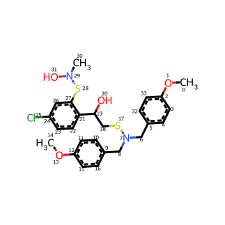 COc1ccc(CN(Cc2ccc(OC)cc2)SCC(O)c2ccc(Cl)cc2SN(C)O)cc1